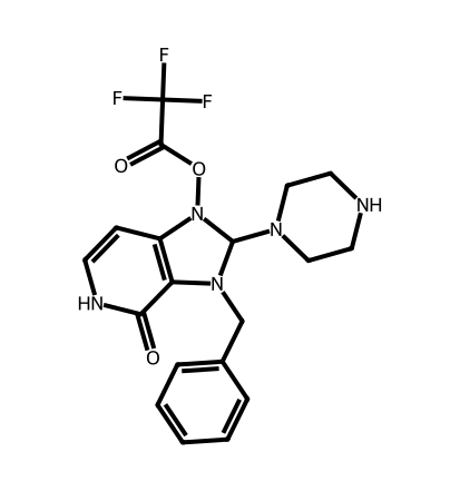 O=C(ON1c2cc[nH]c(=O)c2N(Cc2ccccc2)C1N1CCNCC1)C(F)(F)F